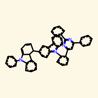 C1=CC(c2ccc3c(c2)c2ccccc2n3-c2ccccc2-c2cc(-c3ccccc3)nc(-c3ccccc3)n2)C2C(=C1)N(c1ccccc1)c1ccccc12